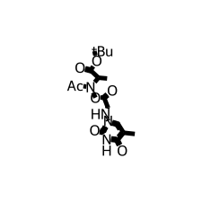 CC(=O)N(OC(=O)CNn1cc(C)c(=O)[nH]c1=O)C(C)C(=O)OC(C)(C)C